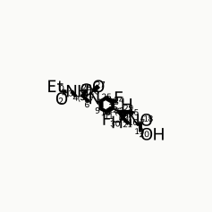 CCC(=O)NC[C@H]1CN(c2cc(F)c([C@H]3[C@@H]4CN(C(=O)CO)C[C@@H]43)c(F)c2)C(=O)O1